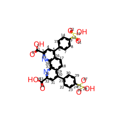 O=C(O)c1cc(-c2ccc(S(=O)(=O)O)cc2)c2ccc3c(-c4ccc(S(=O)(=O)O)cc4)cc(C(=O)O)nc3c2n1